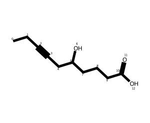 CCC#CCC(O)CCCC(=O)O